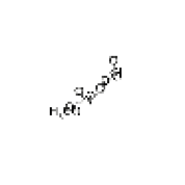 COC(=O)CCC(=NOCc1ccc(OCc2cc(-c3ccccc3)no2)cc1)c1ccccc1